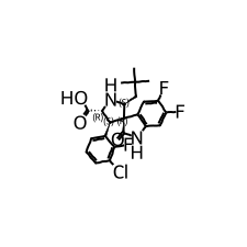 CC(C)(C)C[C@@H]1N[C@@H](C(=O)O)[C@H](c2cccc(Cl)c2F)[C@]12C(=O)Nc1cc(F)c(F)cc12